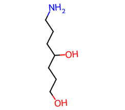 NCCCC(O)CCCO